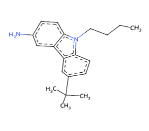 CCCCn1c2ccc(N)cc2c2cc(C(C)(C)C)ccc21